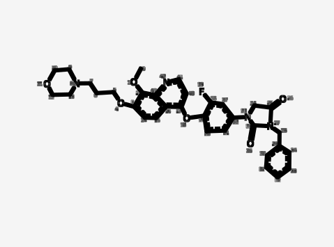 COc1c(OCCCN2CCOCC2)ccc2c(Oc3ccc(N4CC(=O)N(Cc5ccccc5)C4=O)cc3F)ccnc12